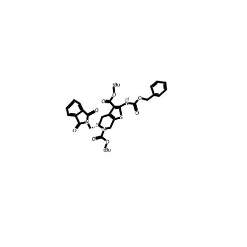 CC(C)(C)OC(=O)c1c(NC(=O)OCc2ccccc2)sc2c1C[C@@H](CN1C(=O)c3ccccc3C1=O)N(C(=O)OC(C)(C)C)C2